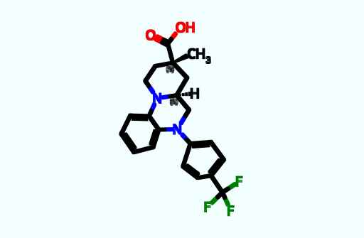 C[C@]1(C(=O)O)CCN2c3ccccc3N(c3ccc(C(F)(F)F)cc3)C[C@@H]2C1